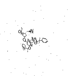 C=CC(=O)N1C[C@H](Oc2cc(O[C@@H](C)[C@@H]3CCCN3C)nc(-c3ncc(C(C)(C)c4ccccc4)o3)n2)C[C@H]1CC#N